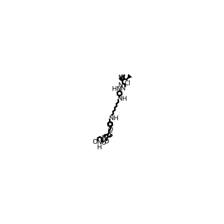 Cn1ncc(-c2nc(N[C@H]3CC[C@H](NCCCCCCCCCNCc4ccc(OCc5scc6c5CN([C@H]5CCC(=O)NC5=O)C6=O)cc4)CC3)ncc2Cl)c1CC1CC1